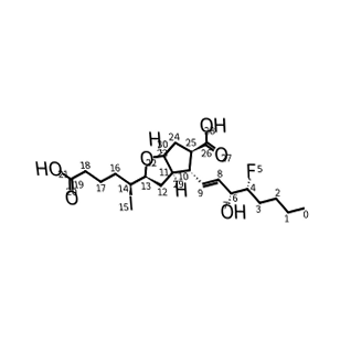 CCCC[C@@H](F)[C@H](O)/C=C/[C@@H]1[C@H]2C[C@@H]([C@@H](I)CCCC(=O)O)O[C@H]2C[C@H]1C(=O)O